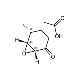 CC(=O)O.C[C@@H]1CCC(=O)[C@@H]2O[C@H]12